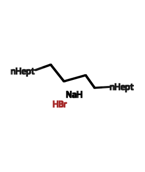 Br.[CH2]CCCCCCCCCCCCCCCCC.[NaH]